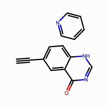 C#Cc1ccc2[nH]cnc(=O)c2c1.c1ccncc1